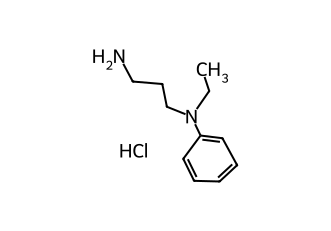 CCN(CCCN)c1ccccc1.Cl